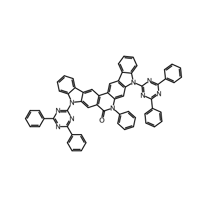 O=c1c2cc3c(cc2c2cc4c5ccccc5n(-c5nc(-c6ccccc6)nc(-c6ccccc6)n5)c4cc2n1-c1ccccc1)c1ccccc1n3-c1nc(-c2ccccc2)nc(-c2ccccc2)n1